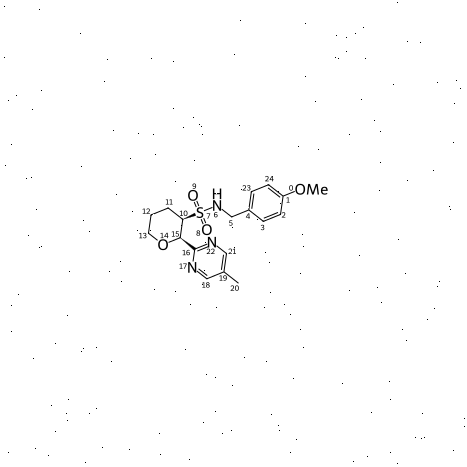 COc1ccc(CNS(=O)(=O)[C@@H]2CCCO[C@@H]2c2ncc(C)cn2)cc1